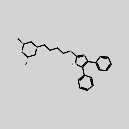 C[C@H]1CN(CCCCSc2nc(-c3ccccc3)c(-c3ccccc3)[nH]2)C[C@H](C)O1